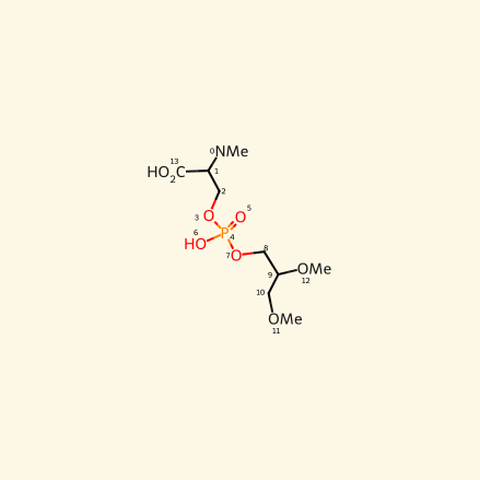 CNC(COP(=O)(O)OCC(COC)OC)C(=O)O